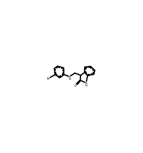 O=C1Nc2ccccc2C1CNc1cccc(Br)c1